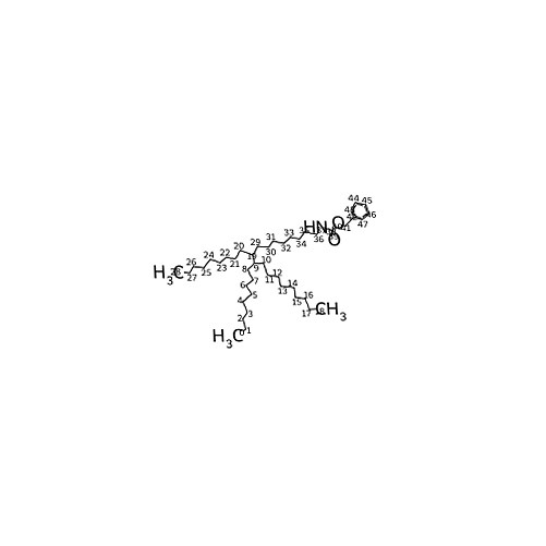 CCCCCCCCCC(CCCCCCCCC)C(CCCCCCCCC)CCCCCCCCNC(=O)OCc1ccccc1